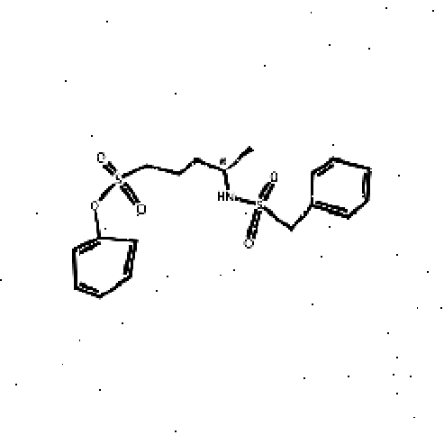 C[C@H](CCCS(=O)(=O)Oc1ccccc1)NS(=O)(=O)Cc1ccccc1